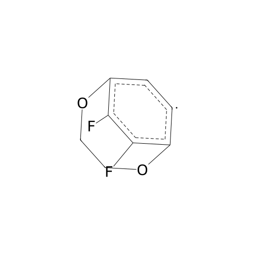 Fc1c2[c]cc(c1F)OCCO2